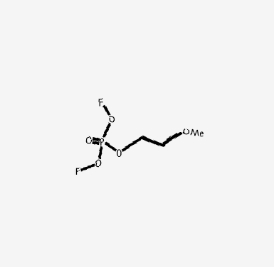 COCCOP(=O)(OF)OF